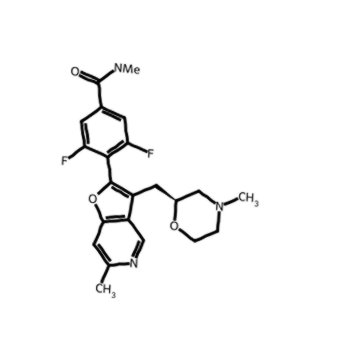 CNC(=O)c1cc(F)c(-c2oc3cc(C)ncc3c2C[C@H]2CN(C)CCO2)c(F)c1